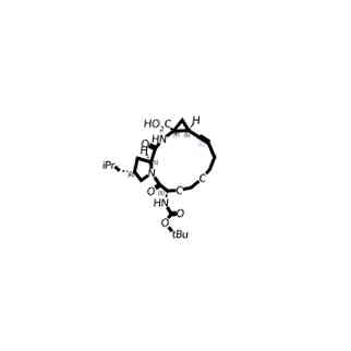 CC(C)C[C@@H]1C[C@H]2C(=O)N[C@]3(C(=O)O)C[C@H]3/C=C\CCCCC[C@H](NC(=O)OC(C)(C)C)C(=O)N2C1